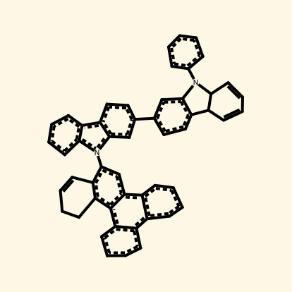 C1=CC2c3ccc(-c4ccc5c6ccccc6n(-c6cc7c8ccccc8c8ccccc8c7c7c6C=CCC7)c5c4)cc3N(c3ccccc3)C2C=C1